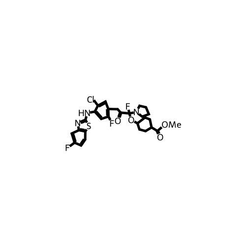 COC(=O)C1CCC(OC(F)(C(=O)Cc2cc(Cl)c(Nc3nc4cc(F)ccc4s3)cc2F)N2CCCC2)CC1